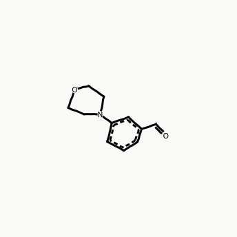 O=[C]c1cccc(N2CCOCC2)c1